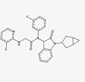 O=C1C(N(C(=O)CNc2ncccc2F)c2cccc(F)c2)c2ccccc2N1C1CC2CC2C1